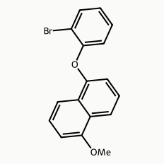 COc1cccc2c(Oc3ccccc3Br)cccc12